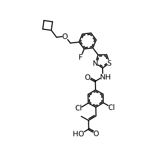 CC(=Cc1c(Cl)cc(C(=O)Nc2nc(-c3cccc(COCC4CCC4)c3F)cs2)cc1Cl)C(=O)O